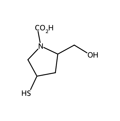 O=C(O)N1CC(S)CC1CO